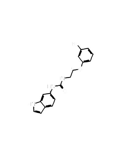 O=C(NCCOc1cccc(Br)c1)Nc1ccc2cc[nH]c2c1